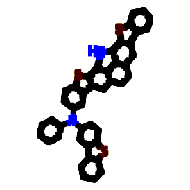 c1ccc(N(c2ccc3sc4ccccc4c3c2)c2ccc3sc4c(cc5ccc6cc7c8ccccc8sc7c7[nH]c4c5c67)c3c2)cc1